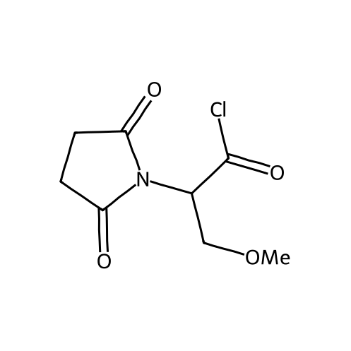 COCC(C(=O)Cl)N1C(=O)CCC1=O